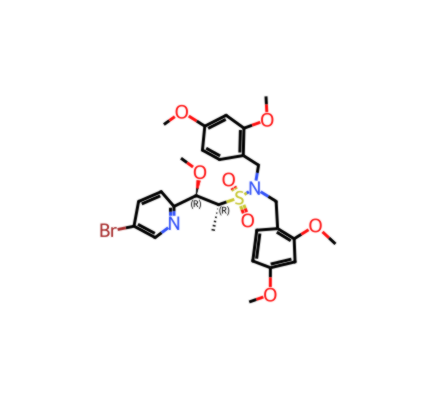 COc1ccc(CN(Cc2ccc(OC)cc2OC)S(=O)(=O)[C@H](C)[C@H](OC)c2ccc(Br)cn2)c(OC)c1